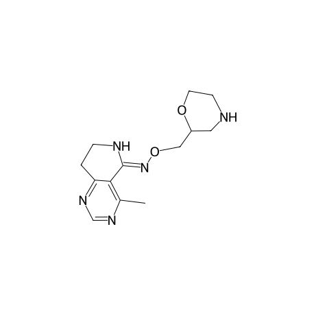 Cc1ncnc2c1C(=NOCC1CNCCO1)NCC2